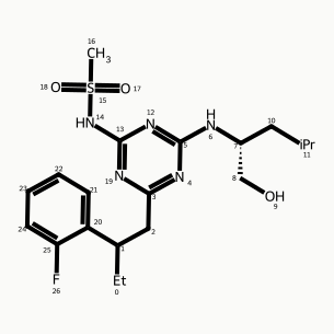 CCC(Cc1nc(N[C@@H](CO)CC(C)C)nc(NS(C)(=O)=O)n1)c1ccccc1F